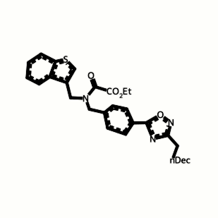 CCCCCCCCCCCc1noc(-c2ccc(CN(Cc3csc4ccccc34)C(=O)C(=O)OCC)cc2)n1